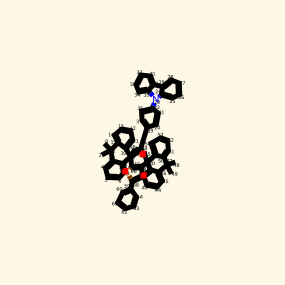 CC1(C)c2ccccc2C2(c3ccccc31)c1cc(-c3ccc(-n4c5ccccc5c5ccccc54)cc3)sc1C1(c3ccccc3C(C)(C)c3ccccc31)c1cc(-c3ccccc3)sc12